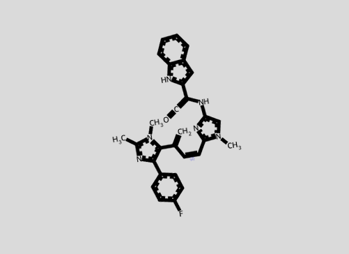 C=C(/C=C\c1nc(NC(=C=O)c2cc3ccccc3[nH]2)cn1C)c1c(-c2ccc(F)cc2)nc(C)n1C